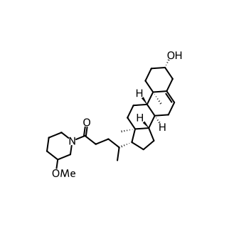 COC1CCCN(C(=O)CCC(C)[C@H]2CC[C@H]3[C@@H]4CC=C5C[C@@H](O)CC[C@]5(C)[C@H]4CC[C@]23C)C1